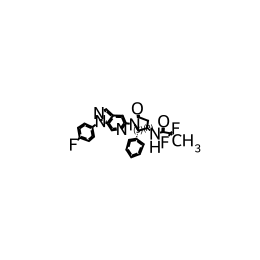 CC(F)(F)C(=O)N[C@@H]1CC(=O)N(c2cc3cnn(-c4ccc(F)cc4)c3cn2)[C@H]1c1ccccc1